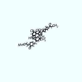 C=CC(=O)N1CC2(CC(n3nc(N4CC[C@@H](CN5CCN(CCOC)C(=O)C5)CC4(C)C)c(-c4c(Cl)c(Cl)cc5[nH]ncc45)c3C)C2)C1